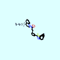 O=C(O)C1CCN(C(=O)CCc2cccc(-c3nc4ccccc4s3)c2)C2CCCCC12